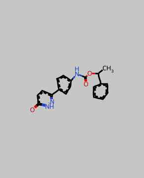 CC(OC(=O)Nc1ccc(-c2ccc(=O)[nH]n2)cc1)c1ccccc1